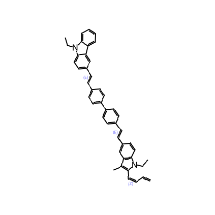 C=C/C=C\c1c(C)c2cc(/C=C/c3ccc(-c4ccc(/C=C/c5ccc6c(c5)c5ccccc5n6CC)cc4)cc3)ccc2n1CC